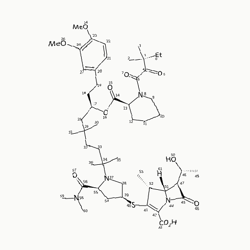 CCC(C)(C)C(=O)C(=O)N1CCCC[C@H]1C(=O)O[C@H](CCc1ccc(OC)c(OC)c1)CC(C)(C)CCC(C)(C)N1C[C@@H](SC2=C(C(=O)O)N3C(=O)[C@H]([C@@H](C)O)[C@H]3[C@H]2C)C[C@H]1C(=O)N(C)C